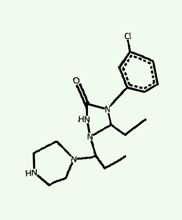 CCC(N1CCNCC1)N1NC(=O)N(c2cccc(Cl)c2)C1CC